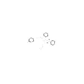 CC(OCCN)N(c1ccccc1N(C)CCOc1ccc(Cl)cc1)S(=O)(=O)c1ccc(Cl)cc1